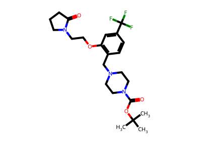 CC(C)(C)OC(=O)N1CCN(Cc2ccc(C(F)(F)F)cc2OCCN2CCCC2=O)CC1